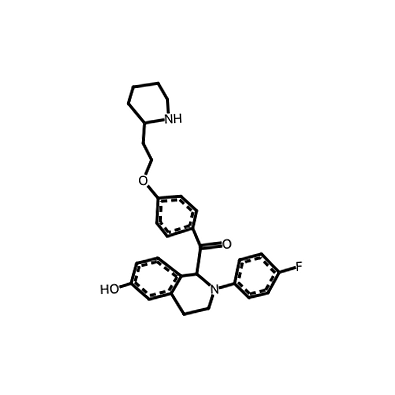 O=C(c1ccc(OCCC2CCCCN2)cc1)C1c2ccc(O)cc2CCN1c1ccc(F)cc1